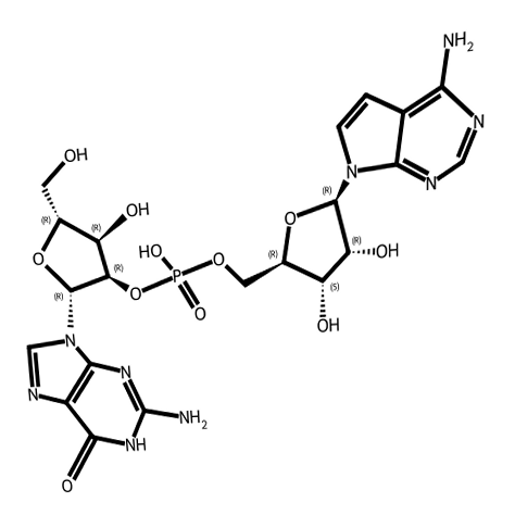 Nc1nc2c(ncn2[C@@H]2O[C@H](CO)[C@@H](O)[C@H]2OP(=O)(O)OC[C@H]2O[C@@H](n3ccc4c(N)ncnc43)[C@H](O)[C@@H]2O)c(=O)[nH]1